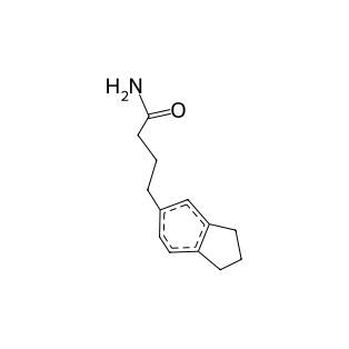 NC(=O)CCCc1ccc2c(c1)CCC2